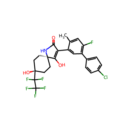 Cc1cc(F)c(-c2ccc(Cl)cc2)cc1C1=C(O)[C@]2(CC[C@@](O)(C(F)(F)C(F)(F)F)CC2)NC1=O